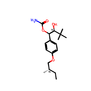 CC[C@H](C)COc1ccc(C(OC(N)=O)[C@@H](O)C(C)(C)C)cc1